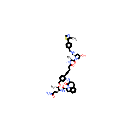 Cc1ncsc1-c1ccc(CNC[C@@H]2C[C@@H](O)CN2C(=O)[C@@H](NC(=O)CCC#Cc2ccc(CO[C@H](C)[C@H](CCC(N)=O)NC(=O)[C@@H]3Cc4cccc5c4N3C(=O)[C@@H](N)CC5)cc2)C(C)(C)C)cc1